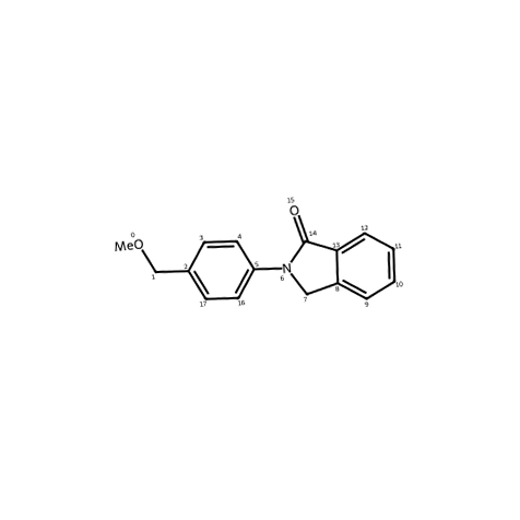 COCc1ccc(N2Cc3ccccc3C2=O)cc1